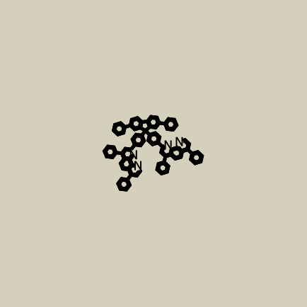 c1ccc(-c2ccc3c(c2)C(c2ccc(-c4cc(-c5ccccc5)c5ccc6c(-c7ccccc7)ccnc6c5n4)cc2)(c2ccc(-c4cc(-c5ccccc5)c5ccc6c(-c7ccccc7)ccnc6c5n4)cc2)c2cc(-c4ccccc4)ccc2-3)cc1